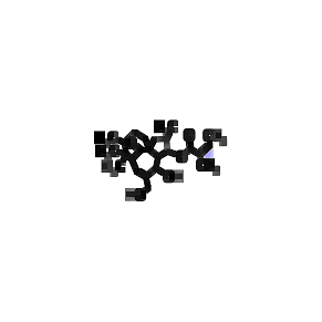 C/C=C(/C)C(=O)OC1C(C)CC23CCC(C)C(C)(C)C(C=C(CO)C(O)C12)C3=O